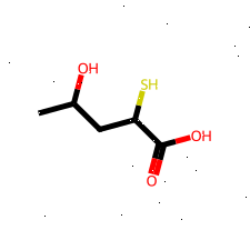 CC(O)CC(S)C(=O)O